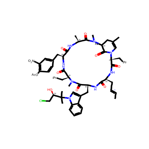 C/C=C/C[C@@H]1NC(=O)[C@H](CC(C)C)N2C=C(C)C[C@@H](C2=O)N(C)C(=O)[C@H](C)NC(=O)[C@H](Cc2ccc(OC(C)=O)c([N+](=O)[O-])c2)NC(=O)[C@H](CC(C)C)N(C)C(=O)[C@H](Cc2cn(C(C)(C)[C@H](O)CCl)c3ccccc23)NC1=O